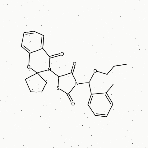 CCCOC(c1ccccc1C)N1C(=O)SC(N2C(=O)c3ccccc3OC23CCCC3)C1=O